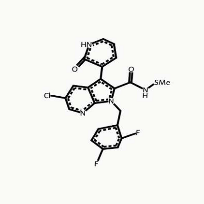 CSNC(=O)c1c(-c2ccc[nH]c2=O)c2cc(Cl)cnc2n1Cc1ccc(F)cc1F